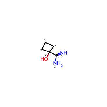 N=C(N)C1(O)CCC1